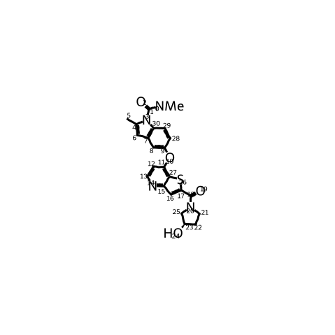 CNC(=O)n1c(C)cc2cc(Oc3ccnc4cc(C(=O)N5CC[C@@H](O)C5)sc34)ccc21